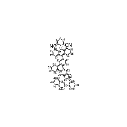 N#Cc1cccc(C#N)c1-c1c2ccccc2c(-c2ccc3c(c2)c2ccccc2c2cc4c(cc32)oc2c3ccccc3c3ccc5ccccc5c3c42)c2ccccc12